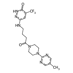 Cc1cnc(N2CCN(C(=O)CCCNc3cc(C(F)(F)F)c(=O)[nH]n3)CC2)nc1